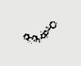 [2H]C([2H])(C1CCCOCC1)N1C[C@H]2CC(Nc3ccc(-c4cccnc4C(F)(F)F)nn3)C[C@H]2C1